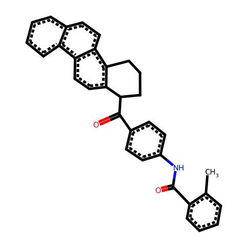 Cc1ccccc1C(=O)Nc1ccc(C(=O)C2CCCc3c2ccc2c3ccc3ccccc32)cc1